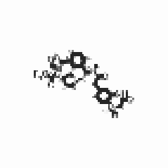 CN(C(=O)Cc1ccc2c(c1)NC(=O)CS2(=O)=O)[C@H](CN1CC[C@H](OC(=O)C(F)(F)F)C1)c1cccc(-c2ncon2)c1